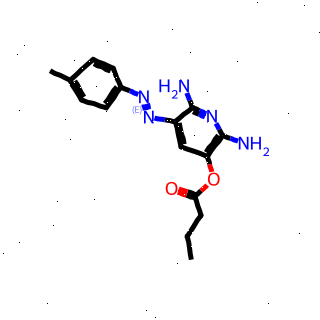 CCCC(=O)Oc1cc(/N=N/c2ccc(C)cc2)c(N)nc1N